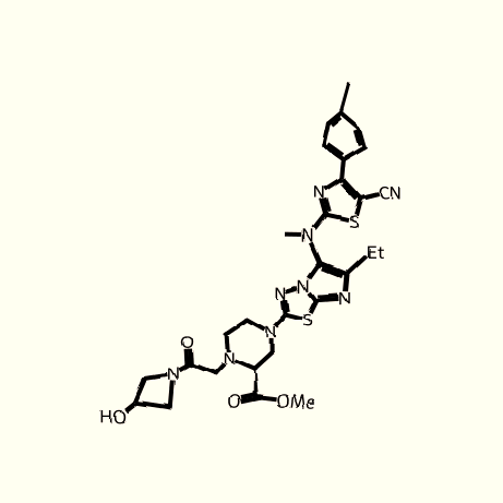 CCc1nc2sc(N3CCN(CC(=O)N4CC(O)C4)[C@H](C(=O)OC)C3)nn2c1N(C)c1nc(-c2ccc(C)cc2)c(C#N)s1